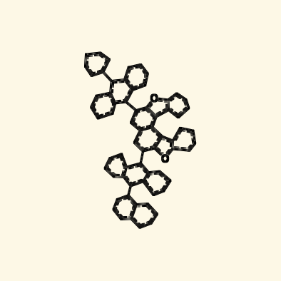 c1ccc(-c2c3ccccc3c(-c3cc4cc(-c5c6ccccc6c(-c6cccc7ccccc67)c6ccccc56)c5oc6ccccc6c5c4c4c3oc3ccccc34)c3ccccc23)cc1